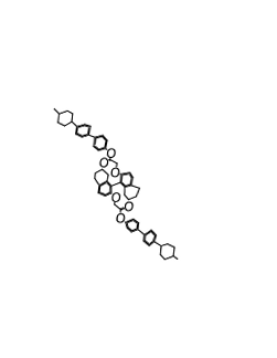 CC1CCC(c2ccc(-c3ccc(OC(=O)COc4ccc5c(c4-c4c(OCC(=O)Oc6ccc(-c7ccc(C8CCC(C)CC8)cc7)cc6)ccc6c4CCCC6)CCCC5)cc3)cc2)CC1